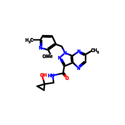 COc1nc(C)ccc1Cn1nc(C(=O)NCC2(O)CC2)c2ncc(C)nc21